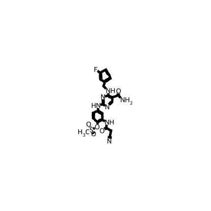 CS(=O)(=O)Oc1ccc(Nc2ncc(C(N)=O)c(NCc3cccc(F)c3)n2)cc1NC(=O)CC#N